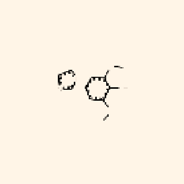 COc1cccc(OC)c1P.c1c[nH]cn1